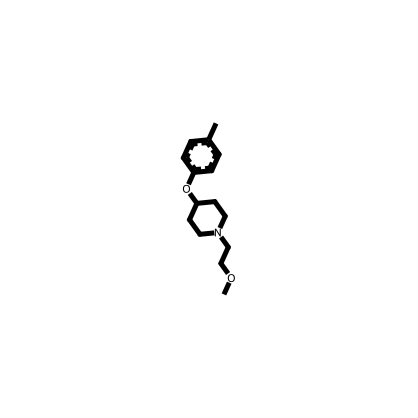 COCCN1CCC(Oc2ccc(C)cc2)CC1